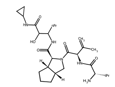 C=C(C)[C@@H](NC(=O)[C@@H](N)C(C)C)C(=O)N1C[C@@H]2CCC[C@@H]2[C@H]1C(=O)NC(CCC)C(O)C(=O)NC1CC1